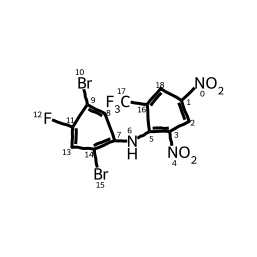 O=[N+]([O-])c1cc([N+](=O)[O-])c(Nc2cc(Br)c(F)cc2Br)c(C(F)(F)F)c1